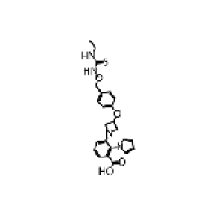 CCNC(=S)NOCc1ccc(OC2CN(c3cccc(C(=O)O)c3-n3cccc3)C2)cc1